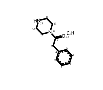 Cl.O=C(Cc1ccccc1)N1CCNCC1